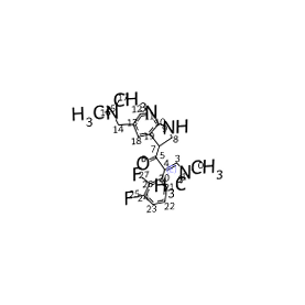 CN(C)/C=C(/C(=O)C1CNc2ncc(CN(C)C)cc21)c1cccc(F)c1F